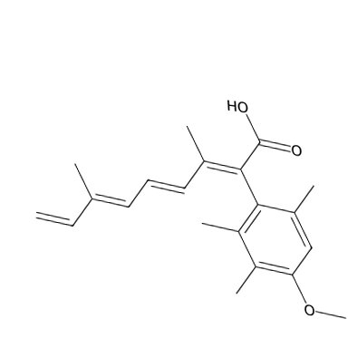 C=C/C(C)=C/C=C/C(C)=C(/C(=O)O)c1c(C)cc(OC)c(C)c1C